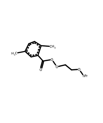 CCCOC[CH]OOC(=O)c1cc(C)ccc1C